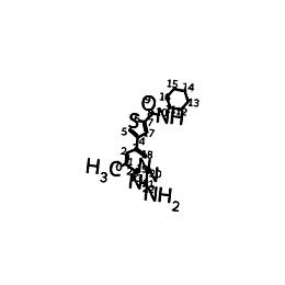 Cc1cc(-c2csc(C(=O)NC3CCCCC3)c2)cn2nc(N)nc12